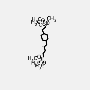 CO[Si](C)(CCC[CH]CC1CCC(CC[Si](OC)(OC)OC)CC1)OC